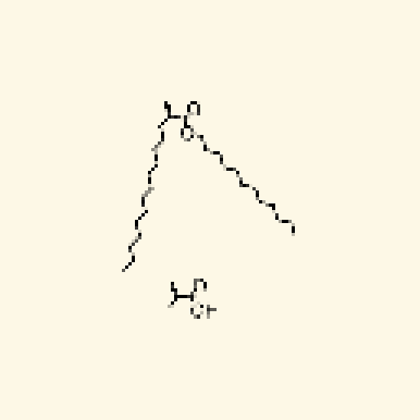 C=C(C)C(=O)O.C=C(CCCCCCCCCCCCC)C(=O)OCCCCCCCCCCCC